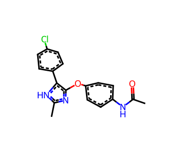 CC(=O)Nc1ccc(Oc2nc(C)[nH]c2-c2ccc(Cl)cc2)cc1